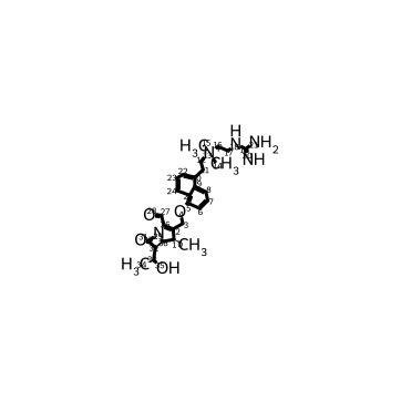 C[C@H]1C(COc2cccc3c(CC[N+](C)(C)CCNC(=N)N)cccc23)=C(C=O)N2C(=O)[C@H]([C@@H](C)O)C12